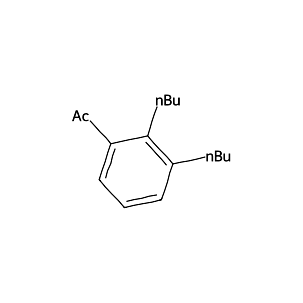 CCCCc1cccc(C(C)=O)c1CCCC